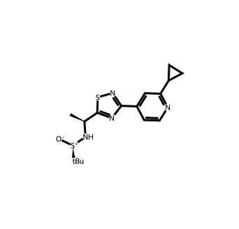 C[C@H](N[S@+]([O-])C(C)(C)C)c1nc(-c2ccnc(C3CC3)c2)ns1